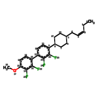 CC/C=C\CC1CCC(c2ccc(-c3ccc(OC)c(F)c3F)c(F)c2F)CC1